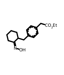 CCOC(=O)Cc1ccc(CC2CCCC/C2=N/O)cc1